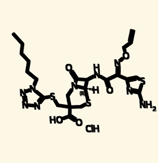 C=CCON=C(C(=O)NC1C(=O)N2CC(CSc3nnnn3CCCCCC)(C(=O)O)CS[C@H]12)c1csc(N)n1.Cl